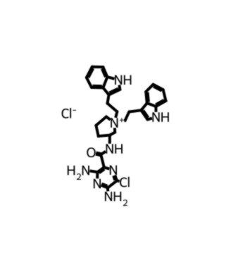 Nc1nc(N)c(C(=O)NC2CCC[N+](CCc3c[nH]c4ccccc34)(CCc3c[nH]c4ccccc34)C2)nc1Cl.[Cl-]